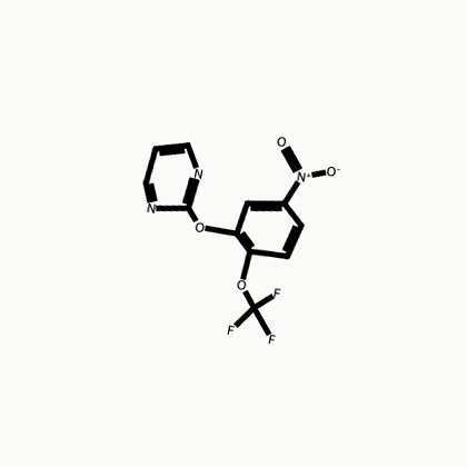 O=[N+]([O-])c1ccc(OC(F)(F)F)c(Oc2ncccn2)c1